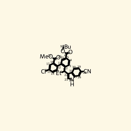 CCC(c1ccc(C(=O)OC(C)(C)C)cc1-c1ccc(Cl)cc1C(=O)OC)c1c[nH]c2cc(C#N)ccc12